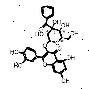 O=C(c1ccccc1)[C@@]1(O)[C@@H](O)C(Oc2c(-c3ccc(O)c(O)c3)oc3cc(O)cc(O)c3c2=O)O[C@H](CO)[C@@H]1O